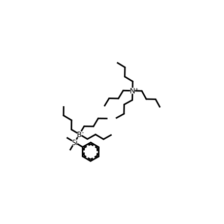 CCCC[B-](CCCC)(CCCC)[Si](C)(C)c1ccccc1.CCCC[N+](CCCC)(CCCC)CCCC